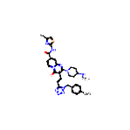 COc1ccc(Cn2nnnc2C=Cc2c(N3CCC(NC(=O)O)CC3)nc3cc(C(=O)Nc4nc(C(C)(C)C)cs4)ccn3c2=O)cc1